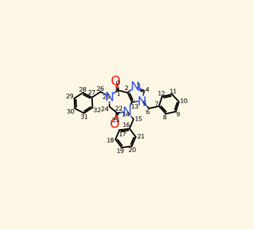 O=C1c2ncn(Cc3ccccc3)c2N(Cc2ccccc2)C(=O)CN1Cc1ccccc1